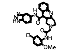 COc1ccc(Cl)cc1NC(=O)CN1CCc2nc3ccccc3c(C(=O)Nc3ccc4[nH]nnc4c3)c2C1